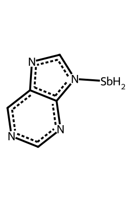 [SbH2][n]1cnc2cncnc21